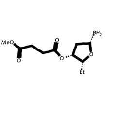 B[C@H]1C[C@@H](OC(=O)CCC(=O)OC)[C@@H](CC)O1